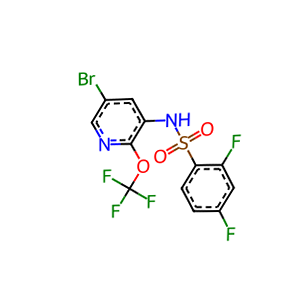 O=S(=O)(Nc1cc(Br)cnc1OC(F)(F)F)c1ccc(F)cc1F